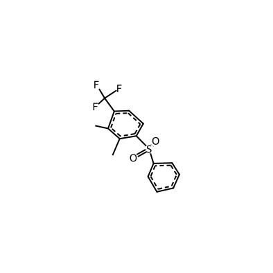 Cc1c(C(F)(F)F)ccc(S(=O)(=O)c2ccccc2)c1C